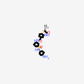 CC1Sc2ccc(C(=O)Nc3cccc([S+]([O-])Nc4ccc(N)cc4)c3)cc2NC1=O